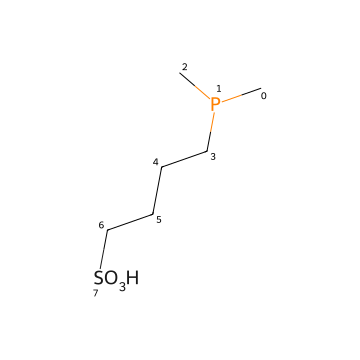 CP(C)CCCCS(=O)(=O)O